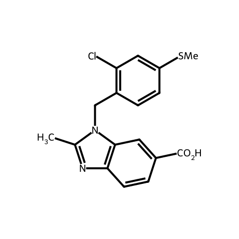 CSc1ccc(Cn2c(C)nc3ccc(C(=O)O)cc32)c(Cl)c1